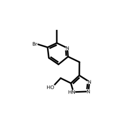 Cc1nc(Cc2nn[nH]c2CO)ccc1Br